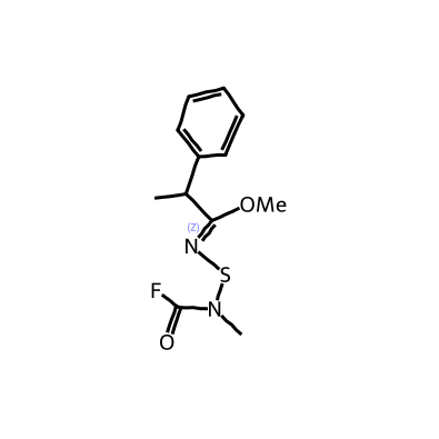 CO/C(=N\SN(C)C(=O)F)C(C)c1ccccc1